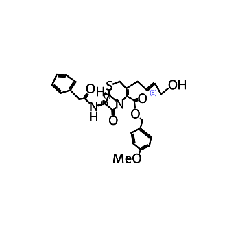 COc1ccc(COC(=O)C2=C(C/C=C/CO)CS[C@H]3[C@H](NC(=O)Cc4ccccc4)C(=O)N23)cc1